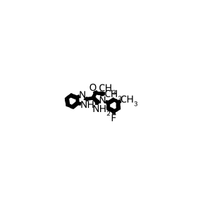 Cc1cc(F)cc(N2C(N)=C(c3nc4ccccc4[nH]3)C(=O)C2(C)C)c1